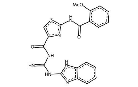 COc1ccccc1C(=O)Nc1nc(C(=O)NC(=N)Nc2nc3ccccc3[nH]2)cs1